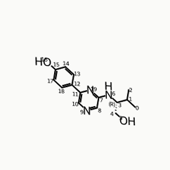 CC(C)[C@H](CO)Nc1cncc(-c2ccc(O)cc2)n1